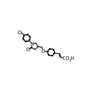 O=C(O)C=Cc1ccc(OCC2CC(=O)N(c3ccc(Cl)cc3)C2)cc1